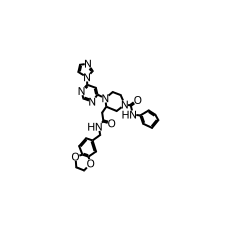 O=C(CC1CN(C(=O)Nc2ccccc2)CCN1c1cc(-n2ccnc2)ncn1)NCc1ccc2c(c1)OCCO2